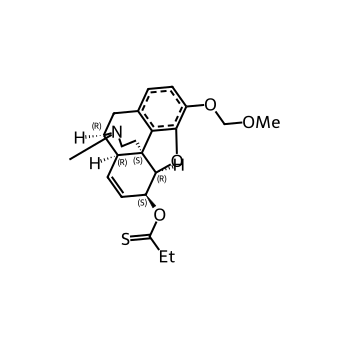 CCC(=S)O[C@H]1C=C[C@H]2[C@H]3Cc4ccc(OCOC)c5c4[C@@]2(CCN3C)[C@H]1O5